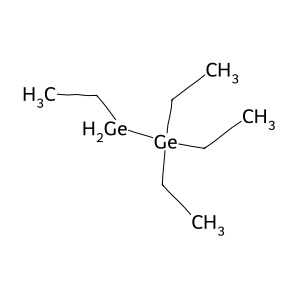 C[CH2][GeH2][Ge]([CH2]C)([CH2]C)[CH2]C